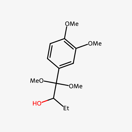 CCC(O)C(OC)(OC)c1ccc(OC)c(OC)c1